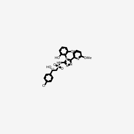 COC1=NC(c2nnc(NS(=O)(=O)C[C@@H](O)c3ccc(Cl)cc3)n2-c2c(O)cccc2OC)=C=C=C1